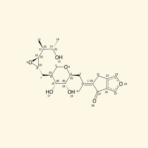 C/C(C[C@@H]1OC[C@H](C[C@@H]2O[C@H]2[C@@H](C)[C@H](C)O)[C@@H](O)[C@H]1O)=C1/Cc2cocc2C1=O